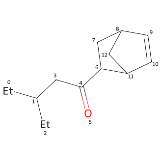 CCC(CC)CC(=O)C1CC2C=CC1C2